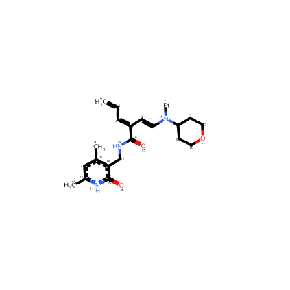 C=C/C=C(\C=C\N(CC)C1CCOCC1)C(=O)NCc1c(C)cc(C)[nH]c1=O